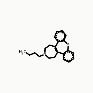 CCCCN1CCC2=C(CC1)c1ccccc1Sc1ccccc12